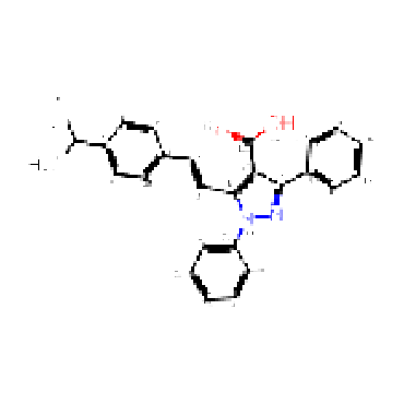 CC(C)c1ccc(C=Cc2c(C(=O)O)c(-c3ccccc3)nn2-c2ccccc2)cc1